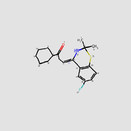 CC1(C)N/C(=C\C(=O)C2CCCCC2)c2cc(F)ccc2S1